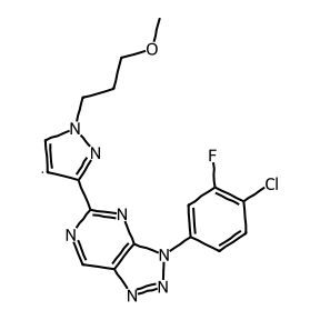 COCCCn1c[c]c(-c2ncc3nnn(-c4ccc(Cl)c(F)c4)c3n2)n1